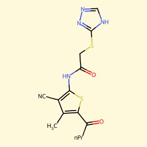 CCCC(=O)c1sc(NC(=O)CSc2nnc[nH]2)c(C#N)c1C